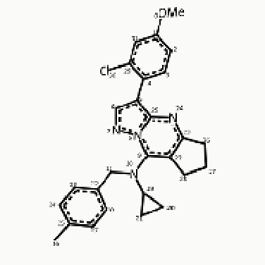 COc1ccc(-c2cnn3c(N(Cc4ccc(C)cc4)C4CC4)c4c(nc23)CCC4)c(Cl)c1